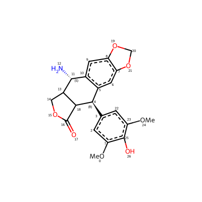 COc1cc([C@@H]2c3cc4c(cc3[C@@H](N)C3COC(=O)C32)OCO4)cc(OC)c1O